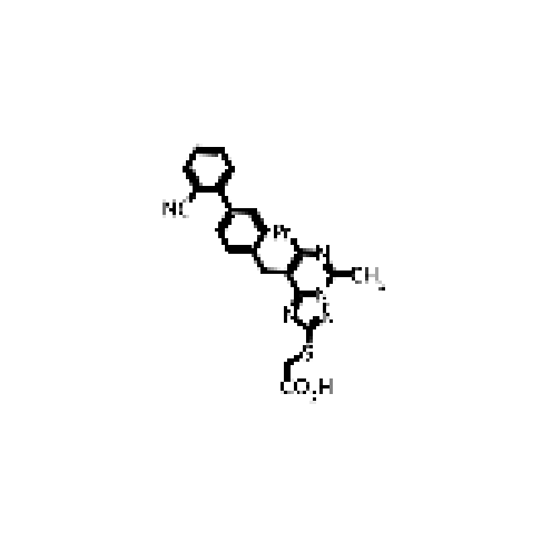 CCCc1nc(C)n2nc(SCC(=O)O)nc2c1Cc1ccc(-c2ccccc2C#N)cc1